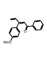 C=CC(=CC(=O)c1ccccc1)c1ccc(OC)cc1